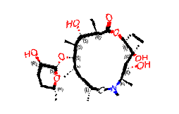 CC[C@H]1OC(=O)[C@H](C)[C@@H](O)[C@H](C)[C@@H](O[C@@H]2O[C@H](C)CC[C@H]2O)[C@@H](C)C[C@@H](C)CN(C)[C@H](C)[C@@H](O)[C@]1(C)O